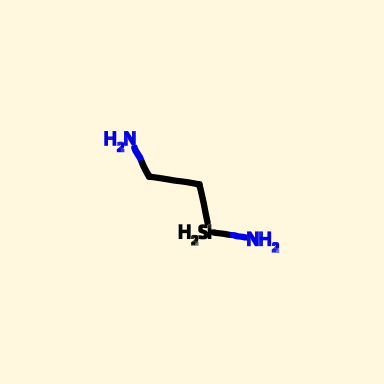 NCC[SiH2]N